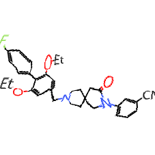 CCOc1cc(CN2CCC3(CC2)CC(=O)N(c2cccc(C#N)c2)C3)cc(OCC)c1-c1ccc(F)cc1